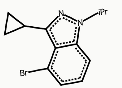 CC(C)n1nc(C2CC2)c2c(Br)cccc21